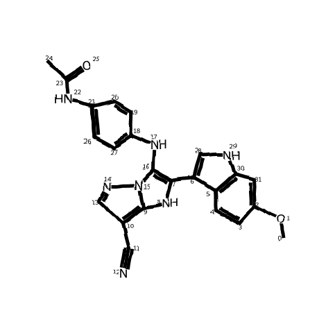 COc1ccc2c(-c3[nH]c4c(C#N)cnn4c3Nc3ccc(NC(C)=O)cc3)c[nH]c2c1